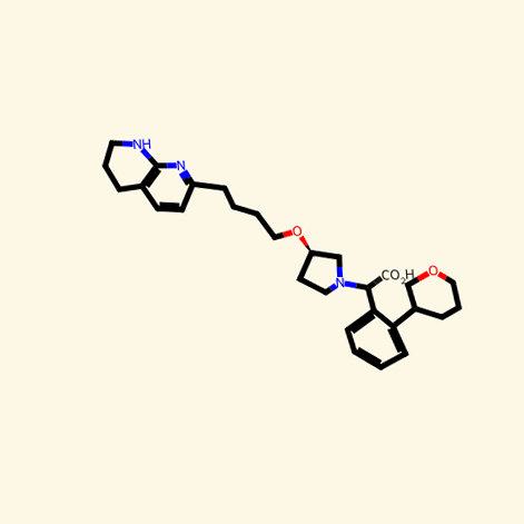 O=C(O)C(c1ccccc1C1CCCOC1)N1CC[C@@H](OCCCCc2ccc3c(n2)NCCC3)C1